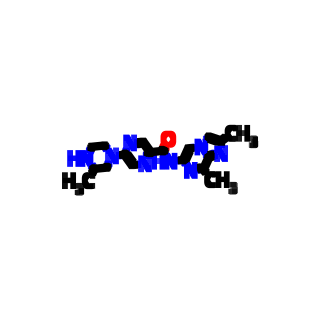 Cc1cn2cc(NC(=O)c3cnc(N4CCNC(C)C4)cn3)nc(C)c2n1